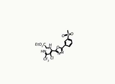 CCOC(=O)CN/C(=C(/Cl)C(=N)C(F)(F)F)c1nnc(-c2cccc(S(C)(=O)=O)c2)o1